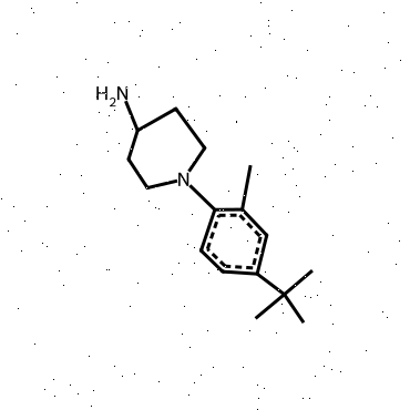 Cc1cc(C(C)(C)C)ccc1N1CCC(N)CC1